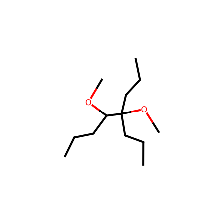 CCCC(OC)C(CCC)(CCC)OC